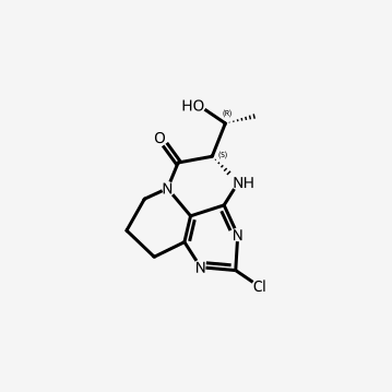 C[C@@H](O)[C@@H]1Nc2nc(Cl)nc3c2N(CCC3)C1=O